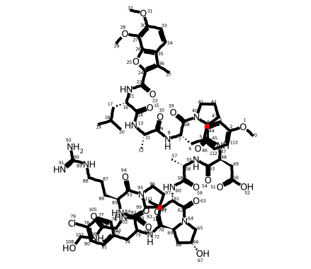 COc1ccc(C[C@H](NC(=O)[C@H](C)NC(=O)[C@H](CC(C)C)NC(=O)c2oc3c(OC)c(OC)ccc3c2C)C(=O)N2CCC[C@H]2C(=O)N[C@@H](CC(=O)O)C(=O)N[C@@H](C)C(=O)N[C@H](C(=O)N2C[C@H](O)C[C@H]2C(=O)NC(Cc2ccc(Cl)cc2)C(=O)N[C@@H](CCCNC(=N)N)C(=O)N2CCC[C@H]2C(=O)NCC(=O)NCO)C(C)C)cc1